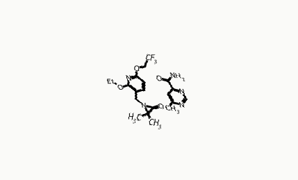 CCOc1nc(OCC(F)(F)F)ccc1CN1C(=O)C1(C)C.Cc1cc(C(N)=O)ncn1